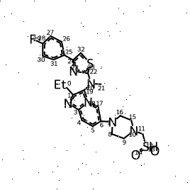 CCc1nc2ccc(N3CCN(C[SH](=O)=O)CC3)cn2c1N(C)c1nc(-c2ccc(F)cc2)cs1